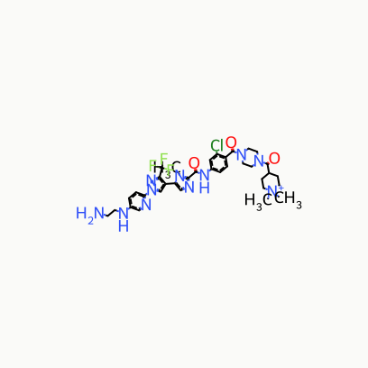 Cn1c(-c2cn(-c3ccc(NCCN)cn3)nc2C(F)(F)F)cnc1C(=O)Nc1ccc(C(=O)N2CCN(C(=O)C3CC[N+](C)(C)CC3)CC2)c(Cl)c1